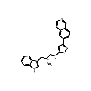 N[C@@H](CNc1cc(-c2ccc3cnccc3c2)no1)Cc1c[nH]c2ccccc12